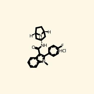 Cl.Cn1c(-c2ccc(F)cc2)c(C(=O)N[C@H]2C[C@H]3CC[C@@H](C2)N3)c2ccccc21